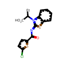 CCC(C(=O)O)n1c(=NC(=O)c2ccc(Cl)s2)sc2ccccc21